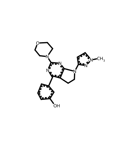 Cn1ccc(N2CCc3c(-c4cccc(O)c4)nc(N4CCOCC4)nc32)n1